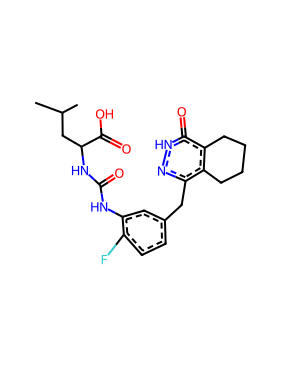 CC(C)CC(NC(=O)Nc1cc(Cc2n[nH]c(=O)c3c2CCCC3)ccc1F)C(=O)O